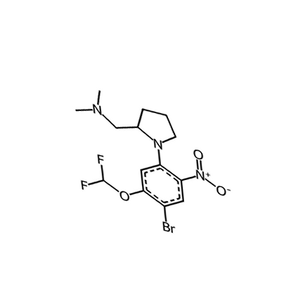 CN(C)CC1CCCN1c1cc(OC(F)F)c(Br)cc1[N+](=O)[O-]